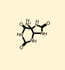 NC12NC(=O)NC1NC(=O)NC2=O